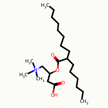 CCCCCCCCC(CCCCCC)C(=O)OC(CC(=O)O)C[N+](C)(C)C